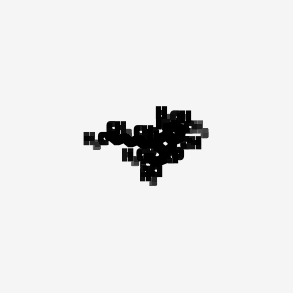 CC(C)=CCC/C(C)=C/CC12OC(C)(C)C(Cl)CC1(Cl)C(=O)c1c(O)c(C)c(O)c(N)c1C2=O